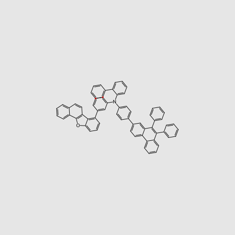 c1ccc(-c2ccccc2N(c2ccc(-c3ccc4c(c3)c(-c3ccccc3)c(-c3ccccc3)c3ccccc34)cc2)c2cccc(-c3cccc4oc5c6ccccc6ccc5c34)c2)cc1